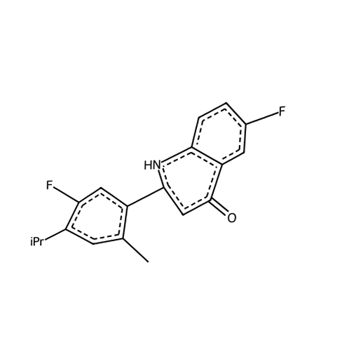 Cc1cc(C(C)C)c(F)cc1-c1cc(=O)c2cc(F)ccc2[nH]1